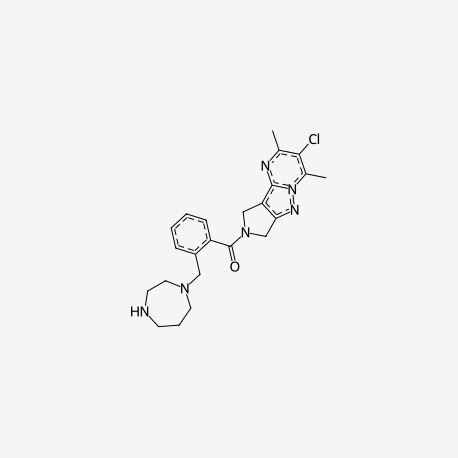 Cc1nc2c3c(nn2c(C)c1Cl)CN(C(=O)c1ccccc1CN1CCCNCC1)C3